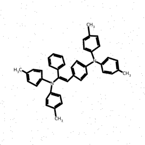 Cc1ccc(N(C(=Cc2ccc(N(c3ccc(C)cc3)c3ccc(C)cc3)cc2)c2ccccc2)c2ccc(C)cc2)cc1